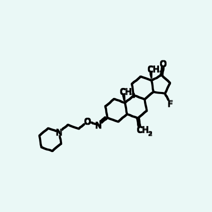 C=C1CC2C(CC[C@]3(C)C(=O)CC(F)C23)[C@@]2(C)CCC(=NOCCN3CCCCC3)CC12